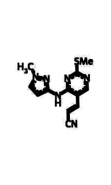 CSc1ncc(/C=C/C#N)c(Nc2ccn(C)n2)n1